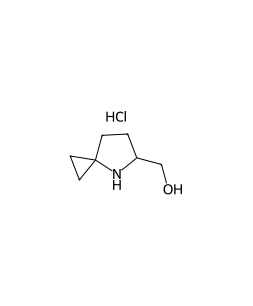 Cl.OCC1CCC2(CC2)N1